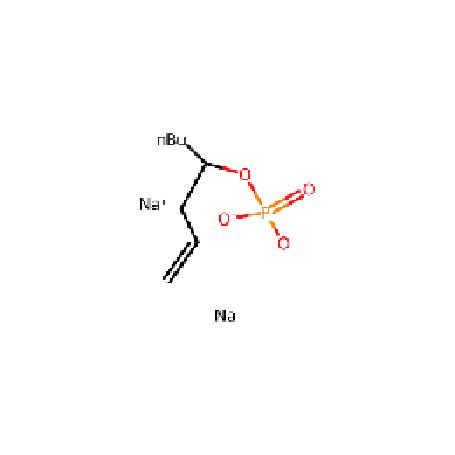 C=CCC(CCCC)OP(=O)([O-])[O-].[Na+].[Na+]